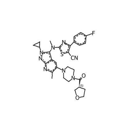 Cc1nc2nn(C3CC3)c(N(C)c3nc(-c4ccc(F)cc4)c(C#N)s3)c2cc1N1CCN(C(=O)[C@H]2CCOC2)CC1